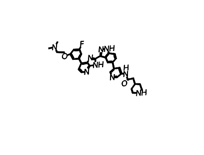 CN(C)CCOc1cc(F)cc(-c2ccnc3[nH]c(-c4n[nH]c5ccc(-c6cncc(NC(=O)CC7CCNCC7)c6)cc45)nc23)c1